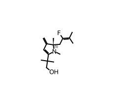 C=C1C=C(C(C)(C)CO)N(C)[C@@]1(C)CC(F)=C(C)C